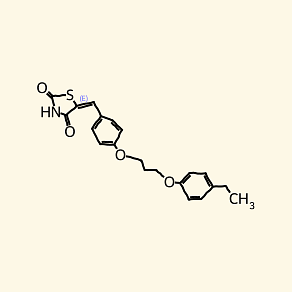 CCc1ccc(OCCCOc2ccc(/C=C3/SC(=O)NC3=O)cc2)cc1